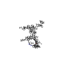 COc1cc2cc(c1Cl)N(C)C(=O)C[C@H](OC(=O)Nc1cc(F)c(NC(=O)[C@H](CCCNC(N)=O)NC(=O)[C@@H](NC(=O)CCCCCNC(=O)C(CBr)CBr)C(C)C)cc1Cl)[C@]1(C)O[C@H]1[C@H](C)[C@@H]1C[C@@](O)(NC(=O)O1)[C@H](OC)/C=C/C=C(\C)C2